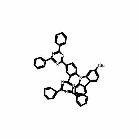 CC(C)(C)c1ccc2c3ccccc3n(-c3ccc(-c4nc(-c5ccccc5)nc(-c5ccccc5)n4)cc3-c3nc(-c4ccccc4)nc(-c4ccccc4)n3)c2c1